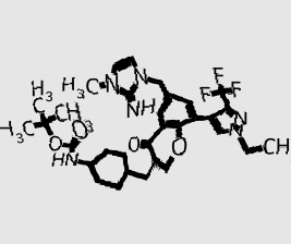 CCn1cc(-c2cc(Cn3ccn(C)c3=N)cc3c2OC[C@@H](CC2CCC(NC(=O)OC(C)(C)C)CC2)C3=O)c(C(F)(F)F)n1